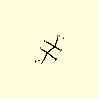 NC(F)(F)C(F)(F)C(=O)O